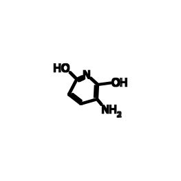 Nc1ccc(O)nc1O